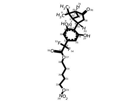 CC1(C)[C@@H]2C[C@H]1[C@@H](c1c(O)cc(C(F)(F)C(=O)OCCCCCO[N+](=O)[O-])cc1O)CC2=O